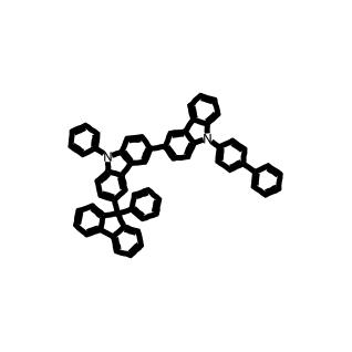 c1ccc(-c2ccc(-n3c4ccccc4c4cc(-c5ccc6c(c5)c5cc(C7(c8ccccc8)c8ccccc8-c8ccccc87)ccc5n6-c5ccccc5)ccc43)cc2)cc1